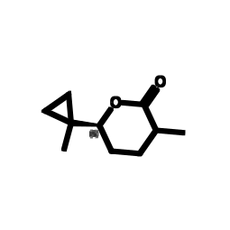 CC1CC[C@@H](C2(C)CC2)OC1=O